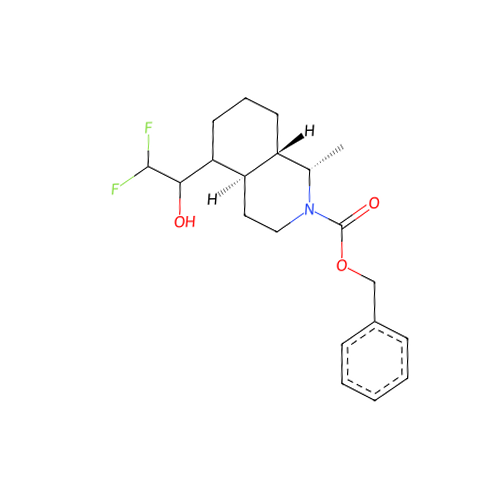 C[C@H]1[C@H]2CCCC(C(O)C(F)F)[C@@H]2CCN1C(=O)OCc1ccccc1